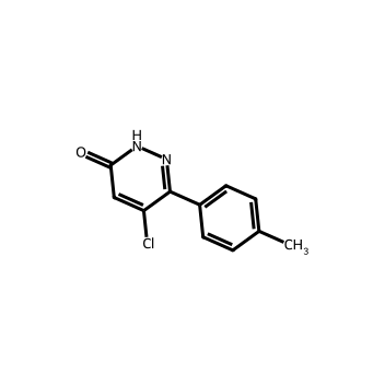 Cc1ccc(-c2n[nH]c(=O)cc2Cl)cc1